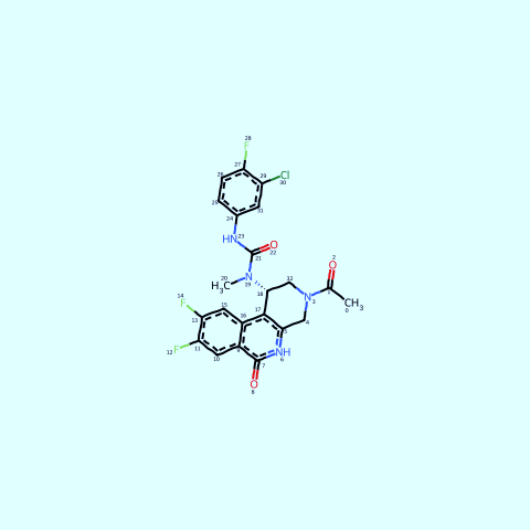 CC(=O)N1Cc2[nH]c(=O)c3cc(F)c(F)cc3c2[C@H](N(C)C(=O)Nc2ccc(F)c(Cl)c2)C1